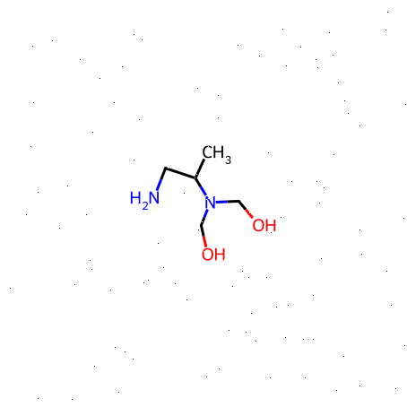 CC(CN)N(CO)CO